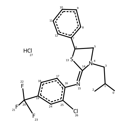 CC(C)CN1CC(c2ccccc2)SC1=Nc1ccc(C(F)(F)F)cc1Cl.Cl